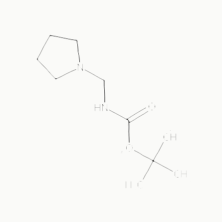 CC(C)(C)OC(=O)N[CH]N1CCCC1